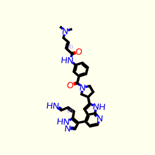 CN(C)C/C=C/C(=O)Nc1cccc(C(=O)N2CCC(c3cc4c(-c5cn[nH]c5/C=C\C=N)ccnc4[nH]3)C2)c1